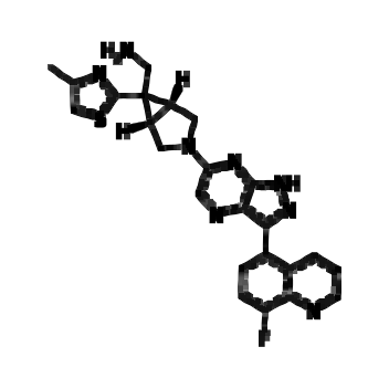 Cc1csc(C2(CN)[C@@H]3CN(c4cnc5c(-c6ccc(F)c7ncccc67)n[nH]c5n4)C[C@@H]32)n1